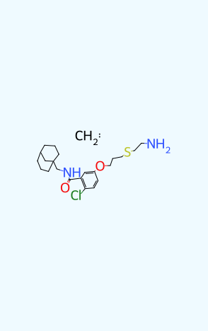 NCCSCCCOc1ccc(Cl)c(C(=O)NCC23CCCC(CCC2)C3)c1.[CH2]